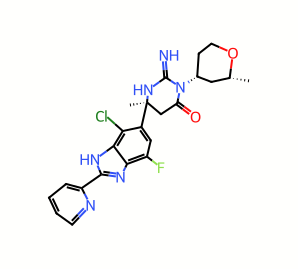 C[C@@H]1C[C@H](N2C(=N)N[C@](C)(c3cc(F)c4nc(-c5ccccn5)[nH]c4c3Cl)CC2=O)CCO1